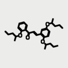 CCCC(C)Oc1ccc(OC(C)CCC)c(C=CC(=O)c2ccccc2OC(C)CCC)c1